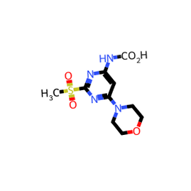 CS(=O)(=O)c1nc(NC(=O)O)cc(N2CCOCC2)n1